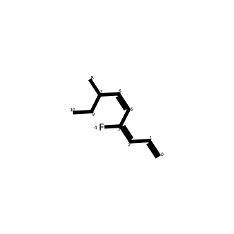 C=C/C=C(F)\C=C/C(C)CC